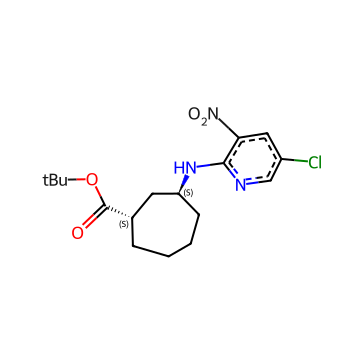 CC(C)(C)OC(=O)[C@H]1CCCC[C@H](Nc2ncc(Cl)cc2[N+](=O)[O-])C1